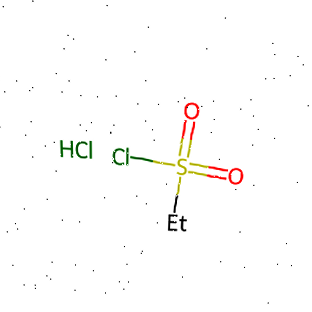 CCS(=O)(=O)Cl.Cl